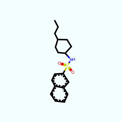 CCCC1CCC(NS(=O)(=O)c2ccc3ccccc3c2)CC1